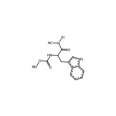 CCN(C#N)C(=O)C(Cc1c[nH]c2ccccc12)NC(=O)OC(C)(C)C